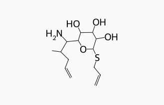 C=CCSC1OC(C(N)C(C)CC=C)C(O)C(O)C1O